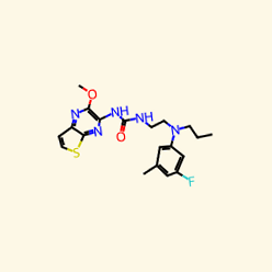 CCCN(CCNC(=O)Nc1nc2sccc2nc1OC)c1cc(C)cc(F)c1